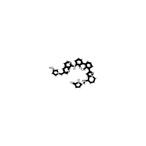 O=C1CC[C@@H](CNC2CCCn3nc(-c4cccc(-c5cccc(Nc6nccc7cc(CN8CC[C@@H](O)C8)cnc67)c5Cl)c4Cl)cc32)N1